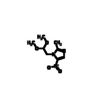 COC(Cn1c([N+](=O)[O-])cnc1C)OC